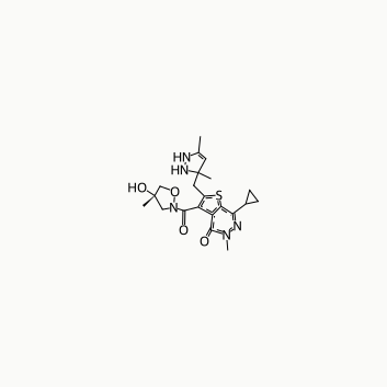 CC1=CC(C)(Cc2sc3c(C4CC4)nn(C)c(=O)c3c2C(=O)N2C[C@](C)(O)CO2)NN1